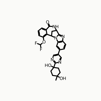 CC1(O)CCC(O)(c2ncc(-c3ccc4nc5n(c4c3)C3CC5NC(=O)c4cccc(OC(F)F)c43)cn2)CC1